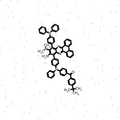 CN(C)c1c(N)c(-c2ccc(N(c3ccccc3)c3ccc(C(=O)c4ccc(C(C)(C)C)cc4)cc3)cc2)c2nc3c4ccccc4c4ccccc4c3nc2c1-c1ccc(N(c2ccccc2)c2ccccc2)cc1